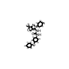 Cc1ccc(-n2nc3c(c2NC(=O)Nc2ccc(Oc4ccccc4)cc2)COC3(C)C)cc1